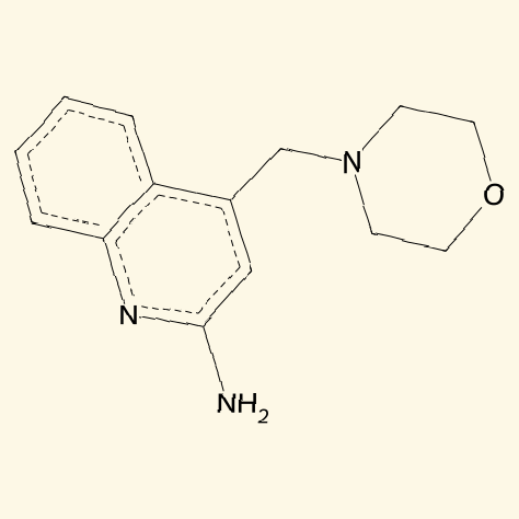 Nc1cc(CN2CCOCC2)c2ccccc2n1